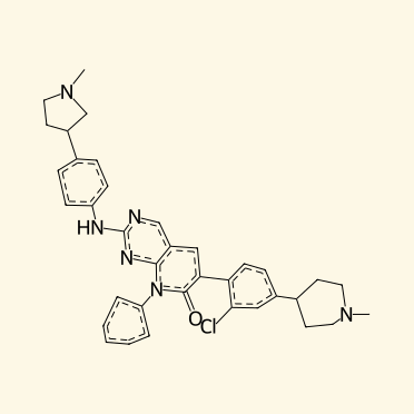 CN1CCC(c2ccc(-c3cc4cnc(Nc5ccc(C6CCN(C)C6)cc5)nc4n(-c4ccccc4)c3=O)c(Cl)c2)CC1